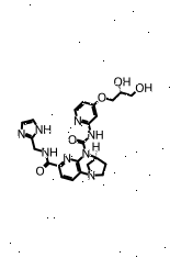 O=C(NCc1ncc[nH]1)c1ccc2c(n1)N(C(=O)Nc1cc(OC[C@H](O)CO)ccn1)[C@H]1CCN2C1